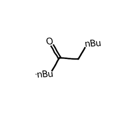 CCC[CH]C(=O)CCCCC